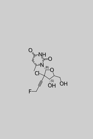 Cc1cc(=O)[nH]c(=O)n1[C@@H]1OC(CO)[C@H](O)C1(Cl)C#CCF